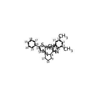 Cc1cc(C)c2nc(C3CCCN3N3[C]=C(c4ccccc4)SC3C)[nH]c2c1